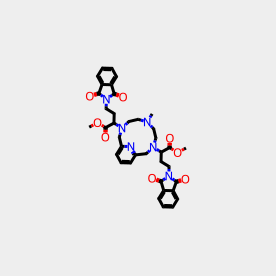 COC(=O)C(CCN1C(=O)c2ccccc2C1=O)N1CCN(C)CCN(C(CCN2C(=O)c3ccccc3C2=O)C(=O)OC)Cc2cccc(n2)C1